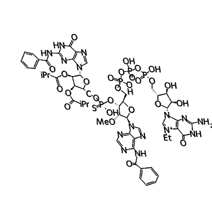 CC[n+]1cn([C@@H]2O[C@H](COP(=O)(O)OP(=O)(O)OP(=O)(O)OC[C@H]3O[C@@H](n4cnc5c(NC(=O)c6ccccc6)ncnc54)[C@H](OC)[C@@H]3O[P@@](O)(=S)OC[C@H]3O[C@@H](n4cnc5c(=O)[nH]c(NC(=O)c6ccccc6)nc54)[C@H](OC(=O)C(C)C)[C@@H]3OC(=O)C(C)C)[C@@H](O)[C@H]2O)c2nc(N)[nH]c(=O)c21